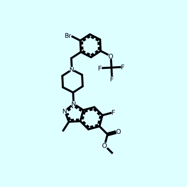 COC(=O)c1cc2c(C)nn(C3CCN(Cc4cc(OC(F)(F)F)ccc4Br)CC3)c2cc1F